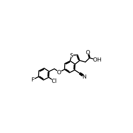 N#Cc1cc(OCc2ccc(F)cc2Cl)cc2scc(CC(=O)O)c12